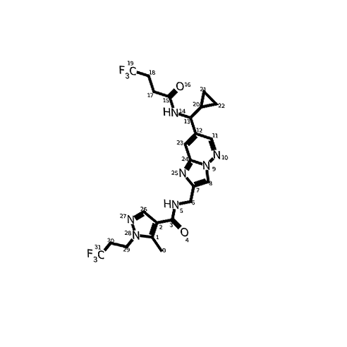 Cc1c(C(=O)NCc2cn3ncc(C(NC(=O)CCC(F)(F)F)C4CC4)cc3n2)cnn1CCC(F)(F)F